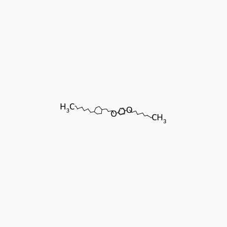 CCCCCCCCOc1ccc(OCCCC2CCC(CCCCCCC)CC2)cc1